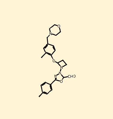 Cc1ccc(C2=NN(N3CCC3Oc3ccc(CN4CCOCC4)cc3C)C(C=O)O2)cc1